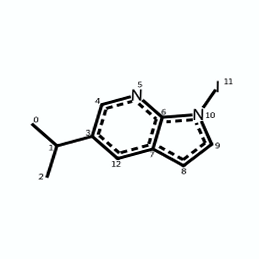 CC(C)c1cnc2c(ccn2I)c1